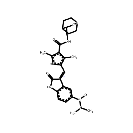 Cc1[nH]c(/C=C2\C(=O)Nc3ccc([S+]([O-])N(C)C)cc32)c(C)c1C(=O)NC1CN2CCC1CC2